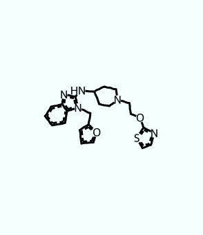 c1coc(Cn2c(NC3CCN(CCOc4nccs4)CC3)nc3ccccc32)c1